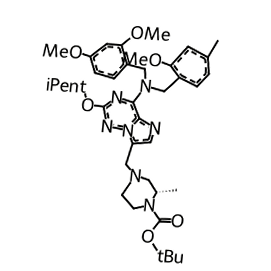 CCCC(C)Oc1nc(N(Cc2ccc(C)cc2OC)Cc2ccc(OC)cc2OC)c2ncc(CN3CCN(C(=O)OC(C)(C)C)[C@@H](C)C3)n2n1